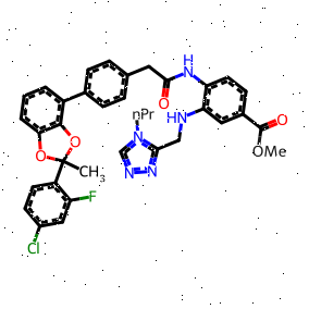 CCCn1cnnc1CNc1cc(C(=O)OC)ccc1NC(=O)Cc1ccc(-c2cccc3c2OC(C)(c2ccc(Cl)cc2F)O3)cc1